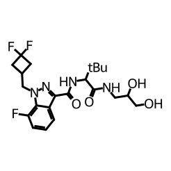 CC(C)(C)C(NC(=O)c1nn(CC2CC(F)(F)C2)c2c(F)cccc12)C(=O)NCC(O)CO